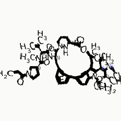 C=CC(=O)N1CC[C@H](C(=O)N(C)[C@H](C(=O)N[C@H]2Cc3cccc(c3F)-c3ccc4c(c3)c(c(/C(C=C)=C(/N=C\C)[C@H](C)OC)n4CC)CC(C)(C)COC(=O)[C@@H]3CCCN(N3)C2=O)C(C)C)C1